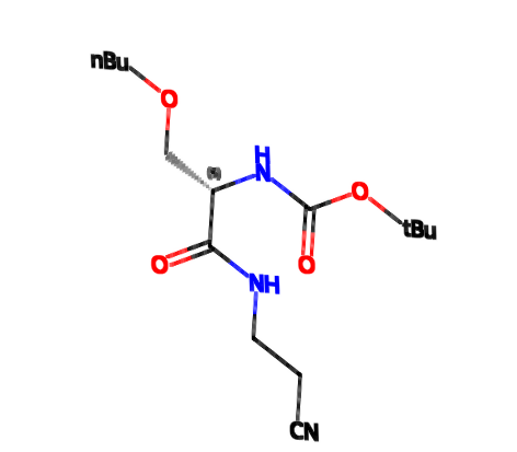 CCCCOC[C@H](NC(=O)OC(C)(C)C)C(=O)NCCC#N